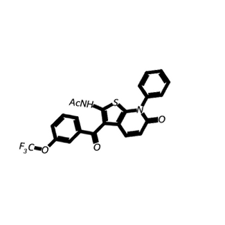 CC(=O)Nc1sc2c(ccc(=O)n2-c2ccccc2)c1C(=O)c1cccc(OC(F)(F)F)c1